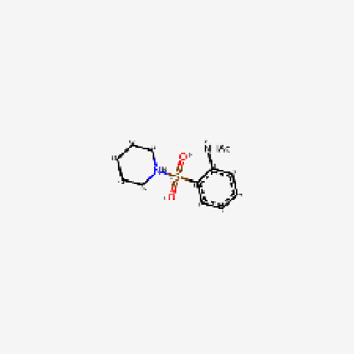 CC(=O)Nc1ccccc1S(=O)(=O)N1CCCCC1